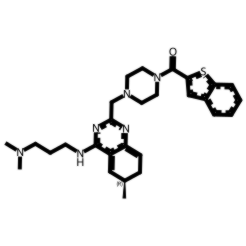 C[C@H]1C=c2c(NCCCN(C)C)nc(CN3CCN(C(=O)c4cc5ccccc5s4)CC3)nc2=CC1